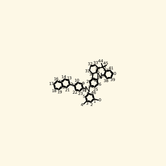 Cc1cc(C)cc(N(c2ccc(-c3ccc4ccccc4c3)cc2)c2ccc3c(c2)C2CC=CC4=C2N3c2ccccc2C4(C)C)c1